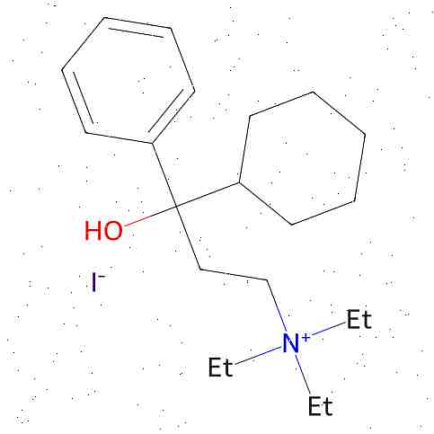 CC[N+](CC)(CC)CCC(O)(c1ccccc1)C1CCCCC1.[I-]